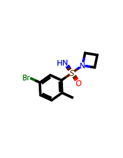 Cc1ccc(Br)cc1S(=N)(=O)N1CCC1